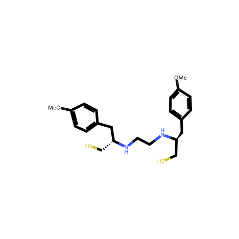 COc1ccc(C[C@@H](CS)NCCN[C@H](CS)Cc2ccc(OC)cc2)cc1